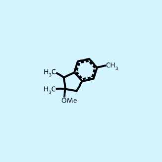 COC1(C)Cc2cc(C)ccc2C1C